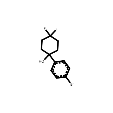 OC1(c2ccc(Br)cc2)CCC(F)(F)CC1